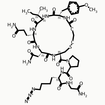 CC[C@H](C)[C@@H]1NC(=O)[C@H](Cc2ccc(OC)cc2)NC(=O)CCCSC[C@@H](C(=O)N2CCCC2C(=O)N[C@@H](CCCCN=[N+]=[N-])C(=O)NCC(N)=O)NC(=O)[C@H](CC(N)=O)NC(=O)[C@H](CCC(N)=O)NC1=O